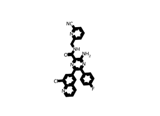 N#Cc1cccc(CNC(=O)c2nc(-c3cc(Cl)c4ncccc4c3)c(-c3ccc(F)cc3)nc2N)n1